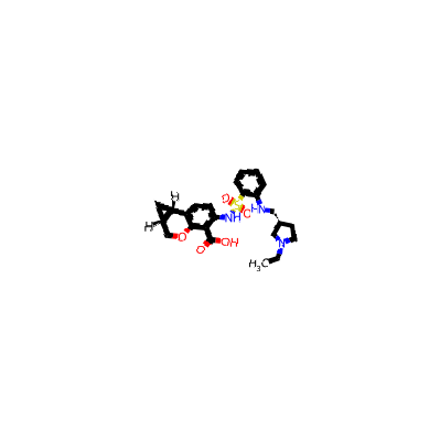 CCN1CC[C@@H](CNc2ccccc2S(=O)(=O)Nc2ccc3c(c2C(=O)O)OC[C@@H]2C[C@H]32)C1